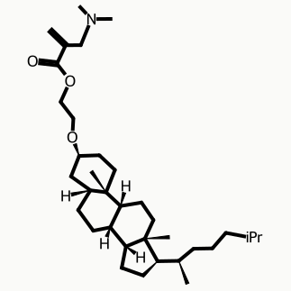 C=C(CN(C)C)C(=O)OCCO[C@H]1CC[C@@]2(C)[C@H](CC[C@H]3[C@H]4CC[C@H]([C@H](C)CCCC(C)C)[C@@]4(C)CC[C@H]32)C1